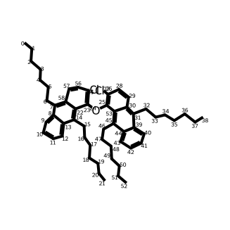 CCCCCCCc1c2ccccc2c(CCCCCCC)c2c(Oc3c(Cl)ccc4c(CCCCCCC)c5ccccc5c(CCCCCCC)c34)c(Cl)ccc12